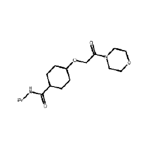 CC(C)NC(=O)C1CCC(OCC(=O)N2CCOCC2)CC1